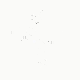 COCCNC(=O)c1cc(NS(C)(=O)=O)ccc1/C=C/c1cc(-n2ccc(=O)[nH]c2=O)cc(C(C)(C)C)c1OC